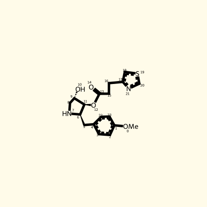 COc1ccc(C[C@H]2NC[C@H](O)[C@H]2OC(=O)CCc2cscn2)cc1